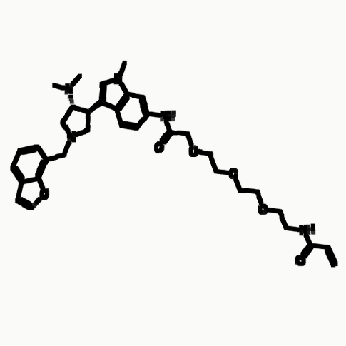 C=CC(=O)NCCOCCOCCOCC(=O)Nc1ccc2c([C@H]3CN(Cc4cccc5ccoc45)C[C@@H]3N(C)C)cn(C)c2c1